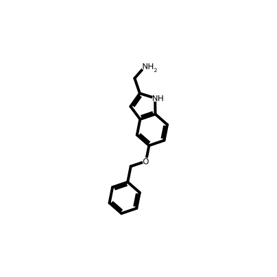 NCc1cc2cc(OCc3ccccc3)ccc2[nH]1